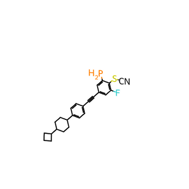 N#CSc1c(F)cc(C#Cc2ccc(C3CCC(C4CCC4)CC3)cc2)cc1P